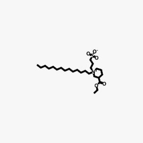 CCCCCCCCCCCCCC[N+]1(CCCS(=O)(=O)[O-])CCCC(C(=O)OCC)C1